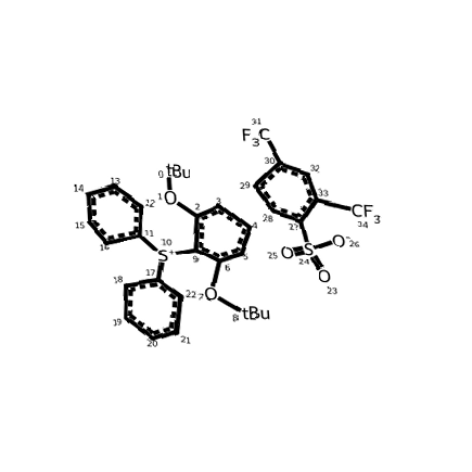 CC(C)(C)Oc1cccc(OC(C)(C)C)c1[S+](c1ccccc1)c1ccccc1.O=S(=O)([O-])c1ccc(C(F)(F)F)cc1C(F)(F)F